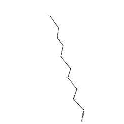 [CH2]CCCCC[CH]CCCC